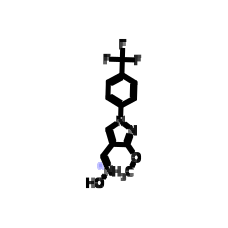 COc1nn(-c2ccc(C(F)(F)F)cc2)cc1/C=N/O